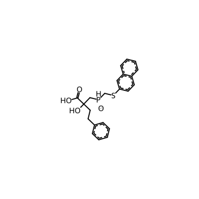 O=C(O)C(O)(CCc1ccccc1)C[PH](=O)CSc1ccc2ccccc2c1